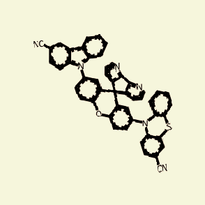 N#Cc1ccc2c(c1)Sc1ccccc1N2c1ccc2c(c1)C1(c3cc(-n4c5ccccc5c5cc(C#N)ccc54)ccc3O2)c2cccnc2-c2ncccc21